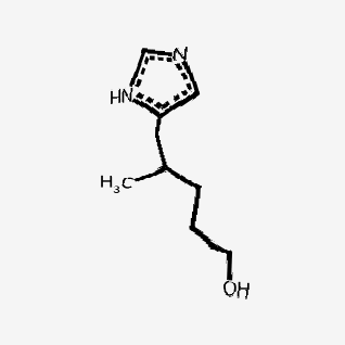 CC(CCCO)c1cnc[nH]1